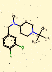 CN(Cc1ccc(Cl)c(Cl)c1)C1CCN(C(C)(C)C)CC1